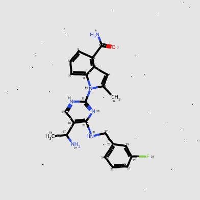 Cc1cc2c(C(N)=O)cccc2n1-c1ncc(C(C)N)c(NCc2cccc(F)c2)n1